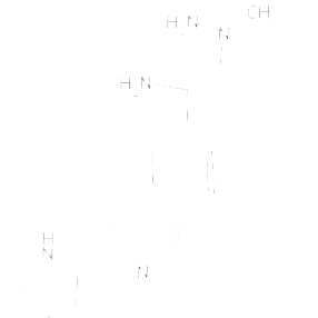 CN(N)/C=C(\N)c1ccc2cnc(C3CCCN3)cc2c1